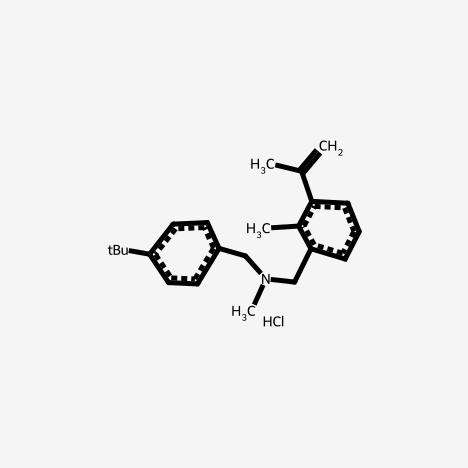 C=C(C)c1cccc(CN(C)Cc2ccc(C(C)(C)C)cc2)c1C.Cl